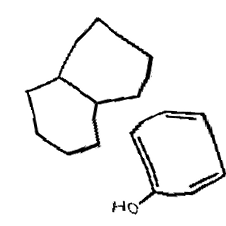 C1CCC2CCCCC2C1.Oc1ccccc1